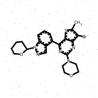 Cc1sc2c(-c3cccc4c3cnn4C3CCCCO3)nc(N3CCOCC3)nc2c1Br